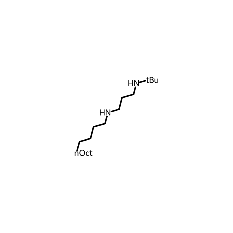 CCCCCCCCCCCCNCCCNC(C)(C)C